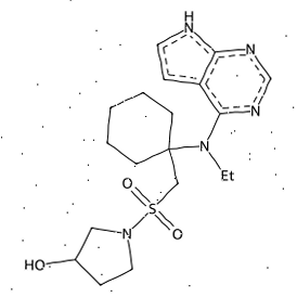 CCN(c1ncnc2[nH]ccc12)C1(CS(=O)(=O)N2CCC(O)C2)CCCCC1